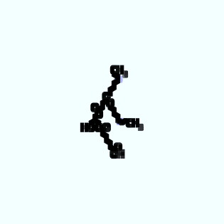 CC/C=C\CCCCOC(CCC(=O)OCC(CO)COC(=O)CCCCCC(=O)O)OCCCC/C=C\CC